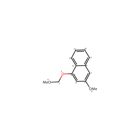 COCOc1cc(OC)cc2ccccc12